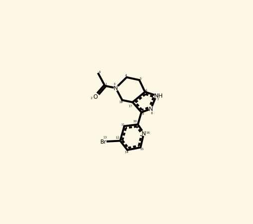 CC(=O)N1CCc2[nH]nc(-c3cc(Br)ccn3)c2C1